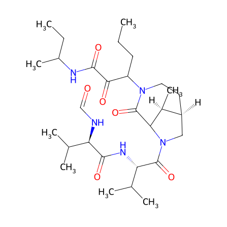 CCCC(C(=O)C(=O)NC(C)CC)N1CC[C@H]2CN(C(=O)[C@@H](NC(=O)[C@H](NC=O)C(C)C)C(C)C)C(C1=O)[C@H]2C